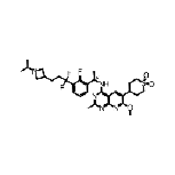 COc1nc2nc(C)nc(N[C@H](C)c3cccc(C(F)(F)CCC4CN(C(C)C)C4)c3F)c2cc1C1CCS(=O)(=O)CC1